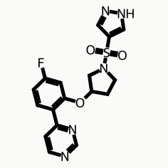 O=S(=O)(c1cn[nH]c1)N1CCC(Oc2cc(F)ccc2-c2ccncn2)C1